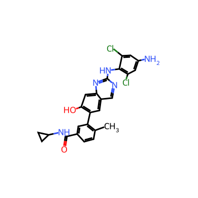 Cc1ccc(C(=O)NC2CC2)cc1-c1cc2cnc(Nc3c(Cl)cc(N)cc3Cl)nc2cc1O